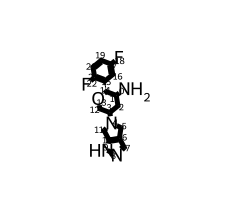 NC1CC(N2Cc3cn[nH]c3C2)CO[C@@H]1c1cc(F)ccc1F